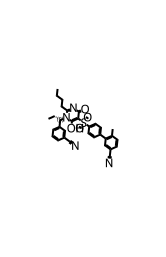 CCCCc1nc(=O)c(S(=O)(=O)c2ccc(-c3cc(C#N)ccc3C)cc2)c(O)n1[C@@H](CC)c1cccc(C#N)c1